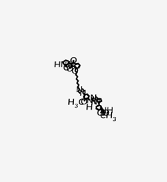 COc1cc(N2CCN(CCCCCCCCOc3cccc4c3C(=O)N(C3CCCNC3=O)C4=O)CC2)ccc1Nc1ncc2ccc(-c3cccc(NS(C)(=O)=O)c3)n2n1